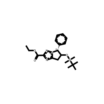 CCOC(=O)c1nc2n(n1)[C@H](c1ccccc1)C(O[Si](C)(C)C(C)(C)C)C2